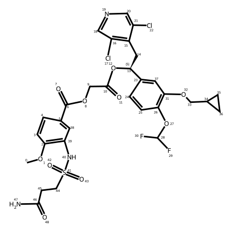 COc1ccc(C(=O)OCC(=O)O[C@@H](Cc2c(Cl)cncc2Cl)c2ccc(OC(F)F)c(OCC3CC3)c2)cc1NS(=O)(=O)CCC(N)=O